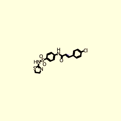 O=C(/C=C/c1ccc(Cl)cc1)Nc1ccc(S(=O)(=O)NC2=NCCS2)cc1